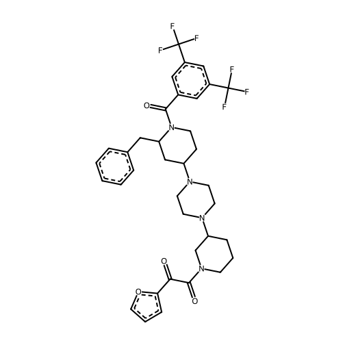 O=C(C(=O)N1CCCC(N2CCN(C3CCN(C(=O)c4cc(C(F)(F)F)cc(C(F)(F)F)c4)C(Cc4ccccc4)C3)CC2)C1)c1ccco1